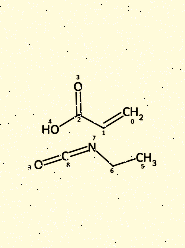 C=CC(=O)O.CCN=C=O